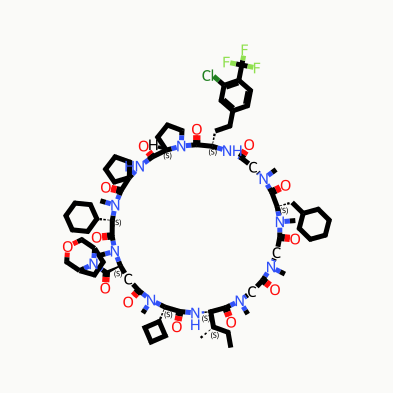 CC[C@H](C)[C@@H]1NC(=O)[C@H](C2CCC2)N(C)C(=O)C[C@@H](C(=O)N2C3CCC2COC3)N(C)C(=O)[C@H](C2CCCCC2)N(C)C(=O)C2(CCCC2)NC(=O)[C@@H]2CCCN2C(=O)[C@H](CCc2ccc(C(F)(F)F)c(Cl)c2)NC(=O)CN(C)C(=O)[C@H](CC2CCCCC2)N(C)C(=O)CN(C)C(=O)CN(C)C1=O